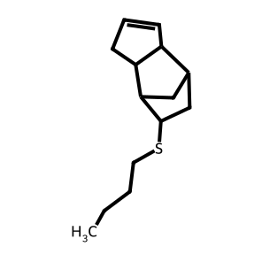 CCCCSC1CC2CC1C1CC=CC21